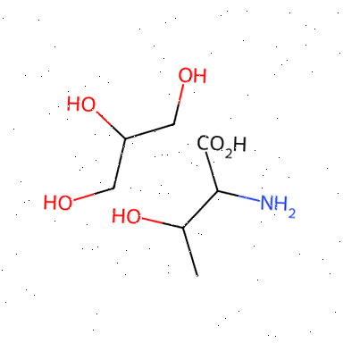 CC(O)C(N)C(=O)O.OCC(O)CO